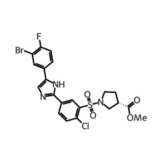 COC(=O)[C@H]1CCN(S(=O)(=O)c2cc(-c3ncc(-c4ccc(F)c(Br)c4)[nH]3)ccc2Cl)C1